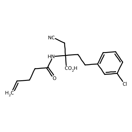 C=CCCC(=O)NC(CC#N)(CCc1cccc(Cl)c1)C(=O)O